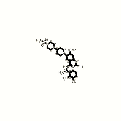 COc1cc2nc(C)nc(N[C@H](C)c3cccc(C#N)c3C)c2cc1N1CCC(N2CCN(S(C)(=O)=O)CC2)CC1